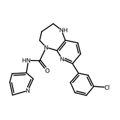 O=C(Nc1cccnc1)N1CCCNc2ccc(-c3cccc(Cl)c3)nc21